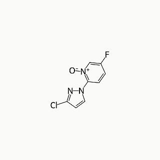 [O-][n+]1cc(F)ccc1-n1ccc(Cl)n1